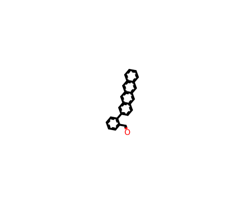 O=Cc1ccccc1-c1ccc2cc3cc4ccccc4cc3cc2c1